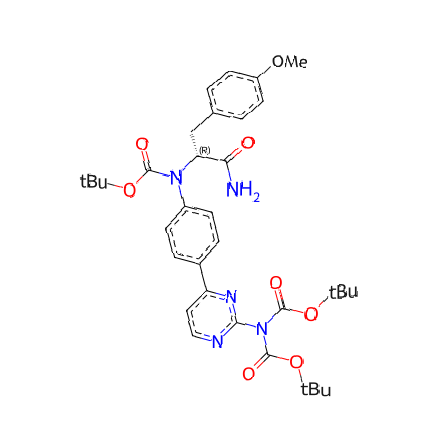 COc1ccc(C[C@H](C(N)=O)N(C(=O)OC(C)(C)C)c2ccc(-c3ccnc(N(C(=O)OC(C)(C)C)C(=O)OC(C)(C)C)n3)cc2)cc1